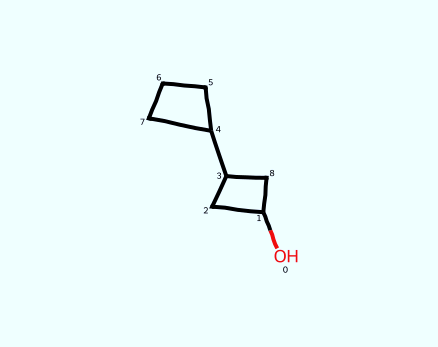 OC1CC(C2CCC2)C1